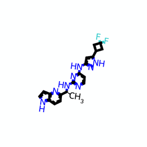 C[C@@H](Nc1nccc(Nc2cc(C3CC(F)(F)C3)[nH]n2)n1)c1ccc2[nH]ccc2n1